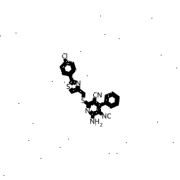 [C-]#[N+]c1c(N)nc(SCc2csc(-c3ccc(Cl)cc3)n2)c(C#N)c1-c1ccccc1